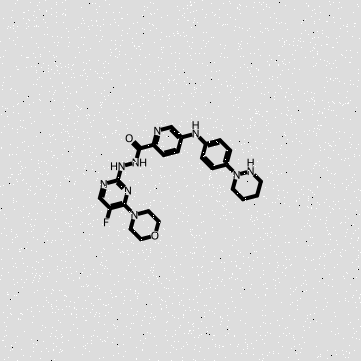 O=C(NNc1ncc(F)c(N2CCOCC2)n1)c1ccc(Nc2ccc(N3CCCCN3)cc2)cn1